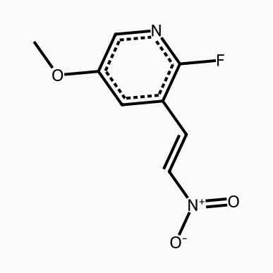 COc1cnc(F)c(/C=C/[N+](=O)[O-])c1